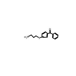 NCCCSc1ccc(C(=O)c2ccccc2)cc1